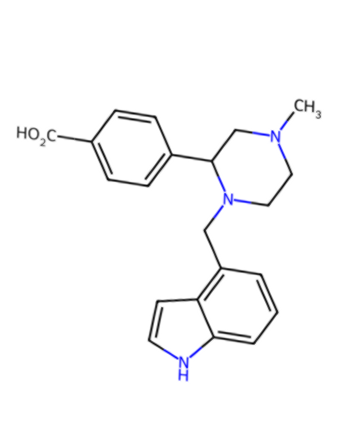 CN1CCN(Cc2cccc3[nH]ccc23)C(c2ccc(C(=O)O)cc2)C1